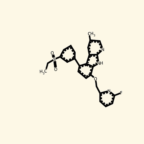 CCS(=O)(=O)c1cccc(-c2ccc(OCc3cccc(F)n3)c3[nH]c4ncc(C)cc4c23)c1